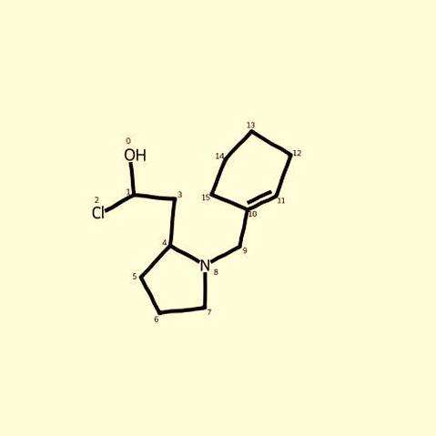 OC(Cl)CC1CCCN1CC1=CCCCC1